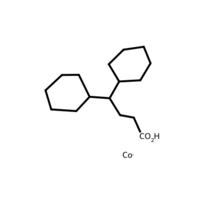 O=C(O)CCC(C1CCCCC1)C1CCCCC1.[Co]